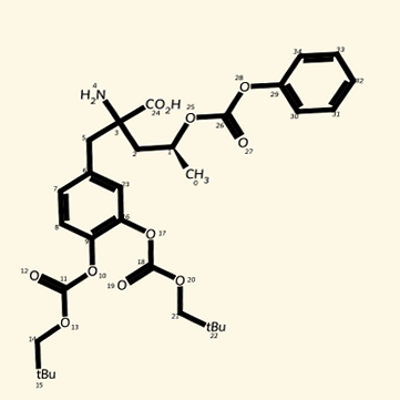 C[C@@H](CC(N)(Cc1ccc(OC(=O)OCC(C)(C)C)c(OC(=O)OCC(C)(C)C)c1)C(=O)O)OC(=O)Oc1ccccc1